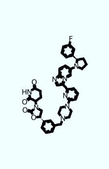 O=C1CCC(N2C[C@H](c3cccc(CN4CCN(c5cccc(-c6cnc7ccc(N8CCC[C@@H]8c8cccc(F)c8)cn67)n5)CC4)c3)OC2=O)C(=O)N1